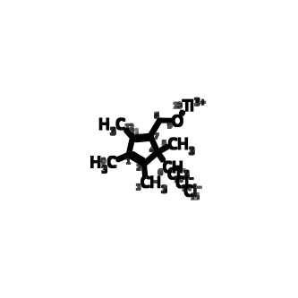 CC1=C(C)C(C)(C)C(C[O][Ti+3])=C1C.[Cl-].[Cl-].[Cl-]